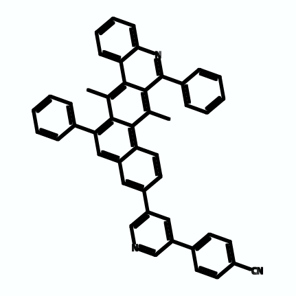 Cc1c2c(-c3ccccc3)nc3ccccc3c2c(C)c2c(-c3ccccc3)cc3cc(-c4cncc(-c5ccc(C#N)cc5)c4)ccc3c12